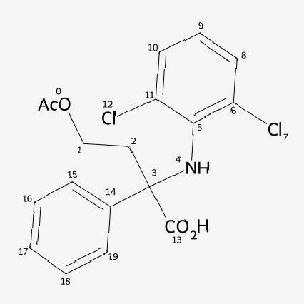 CC(=O)OCCC(Nc1c(Cl)cccc1Cl)(C(=O)O)c1ccccc1